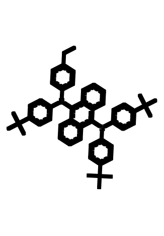 CCc1ccc(N(c2ccc(C(C)(C)C)cc2)c2c3ccccc3c(N(c3ccc(C(C)(C)C)cc3)c3ccc(C(C)(C)C)cc3)c3ccccc23)cc1